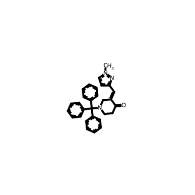 Cn1ccc(/C=C2\CN(C(c3ccccc3)(c3ccccc3)c3ccccc3)CCC2=O)n1